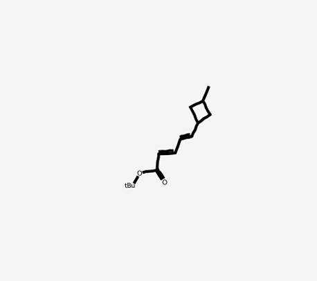 CC1CC(/C=C/C=C/C(=O)OC(C)(C)C)C1